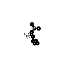 CC1(C)c2ccc(-c3cc(-c4ccccc4)nc(-c4ccccc4)n3)cc2-c2ccc(-c3ccc4ccc5cccc6ccc3c4c56)cc21